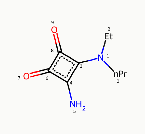 CCCN(CC)c1c(N)c(=O)c1=O